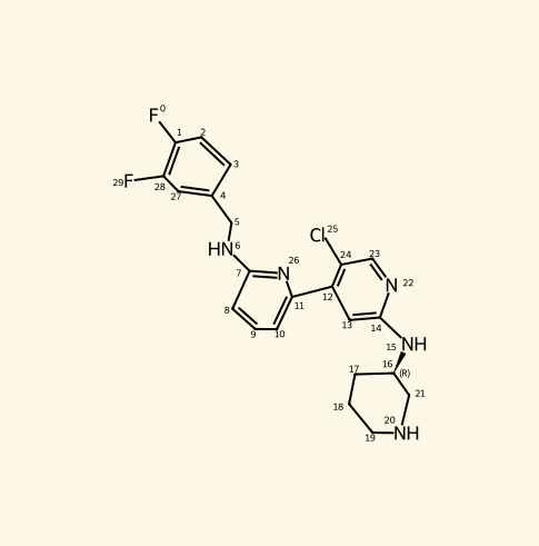 Fc1ccc(CNc2cccc(-c3cc(N[C@@H]4CCCNC4)ncc3Cl)n2)cc1F